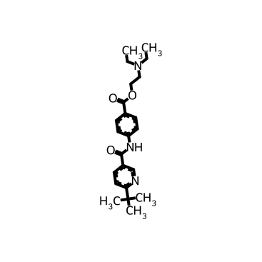 CCN(CC)CCOC(=O)c1ccc(NC(=O)c2ccc(C(C)(C)C)nc2)cc1